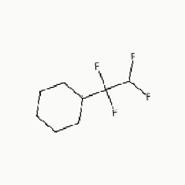 FC(F)C(F)(F)[C]1CCCCC1